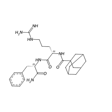 N=C(N)NCCC[C@H](NC(=O)C12CC3CC(CC(C3)C1)C2)C(=O)N[C@@H](Cc1ccccc1)C(N)=O